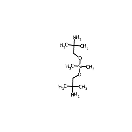 CC(C)(N)CO[Si](C)(C)OCC(C)(C)N